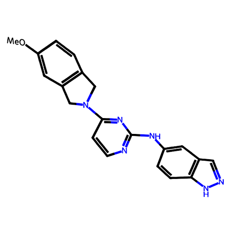 COc1ccc2c(c1)CN(c1ccnc(Nc3ccc4[nH]ncc4c3)n1)C2